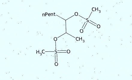 CCCCCC(OS(C)(=O)=O)C(C)OS(C)(=O)=O